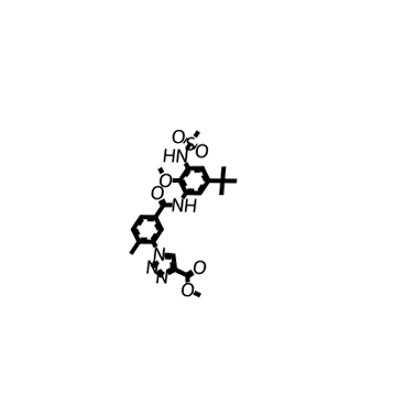 COC(=O)c1cn(-c2cc(C(=O)Nc3cc(C(C)(C)C)cc(NS(C)(=O)=O)c3OC)ccc2C)nn1